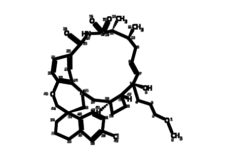 COCCC[C@@]1(O)/C=C/C[C@H](C)[C@@H](C)S(=O)(=O)NC(=O)c2ccc3c(c2)N(C[C@@H]2CC[C@H]21)C[C@@]1(CCCc2cc(Cl)ccc21)CO3